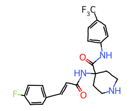 O=C(/C=C/c1ccc(F)cc1)NC1(C(=O)Nc2ccc(C(F)(F)F)cc2)CCNCC1